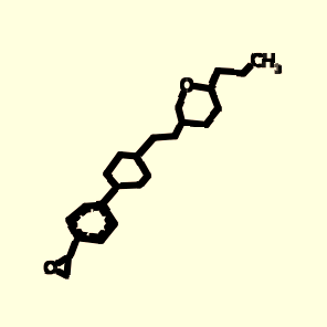 CCCC1CCC(CCC2CCC(c3ccc(C4CO4)cc3)CC2)CO1